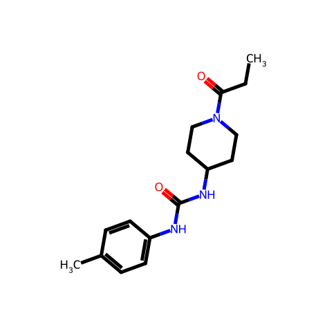 CCC(=O)N1CCC(NC(=O)Nc2ccc(C)cc2)CC1